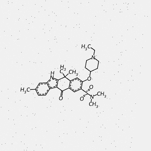 CCN1CCC(Oc2cc3c(cc2S(=O)(=O)N(C)C)C(=O)c2c([nH]c4cc(C)ccc24)C3(C)C)CC1